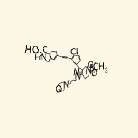 CS(=O)(=O)N1CCc2c(c(-c3ccc(Cl)c(C#Cc4ccc5c(c4)CCNC5C(=O)O)c3)nn2CCCN2CCOCC2)C1